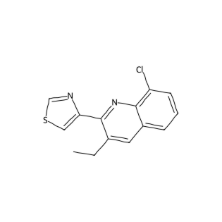 CCc1cc2cccc(Cl)c2nc1-c1cscn1